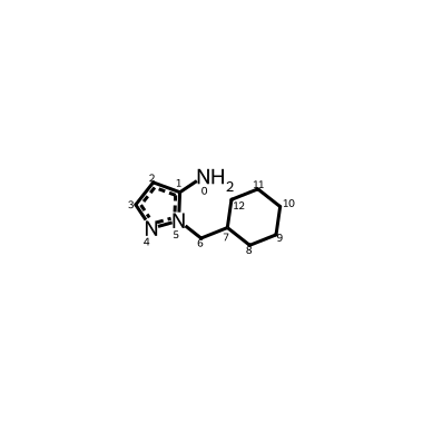 Nc1ccnn1CC1CCCCC1